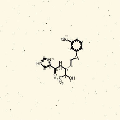 C[C@H](O)[C@@H](CCOc1cccc(C(C)(C)C)c1)NC(=O)c1c[nH]cn1